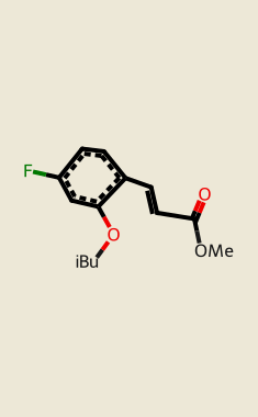 CCC(C)Oc1cc(F)ccc1/C=C/C(=O)OC